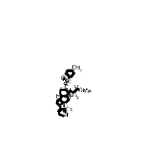 COC(=O)CC[C@@]1(C)[C@H](COS(=O)(=O)c2ccc(C)cc2)CC[C@@H]2[C@@H]1CC[C@]1(C)C(c3cccnc3)=CC[C@@H]21